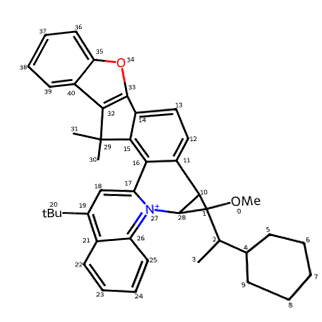 COC1(C(C)C2CCCCC2)C2c3ccc4c(c3-c3cc(C(C)(C)C)c5ccccc5[n+]3C21)C(C)(C)c1c-4oc2ccccc12